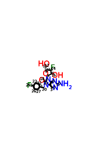 Nc1ncc2c(n1)n([C@@H]1O[C@H](CO)[C@@H](F)[C@H]1O)c(=O)n2Cc1ccc(F)cc1